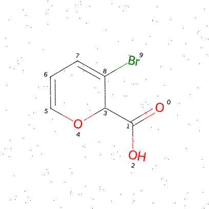 O=C(O)C1OC=CC=C1Br